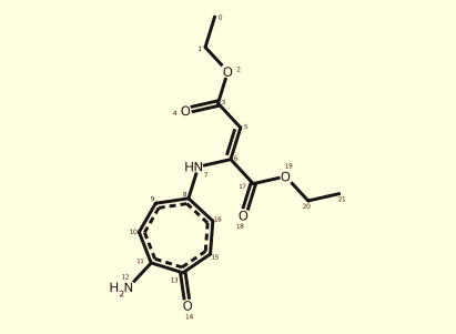 CCOC(=O)/C=C(\Nc1ccc(N)c(=O)cc1)C(=O)OCC